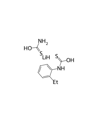 CCc1ccccc1NC(O)=S.NC(O)=S.[LiH]